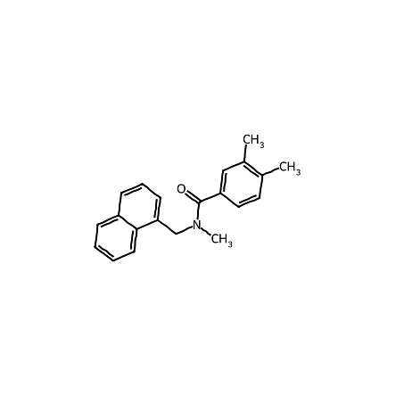 Cc1ccc(C(=O)N(C)Cc2cccc3ccccc23)cc1C